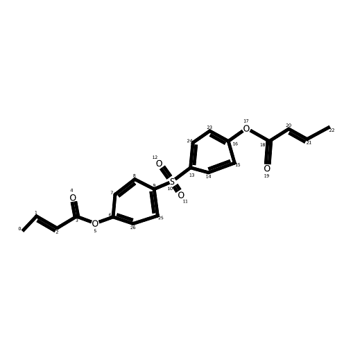 CC=CC(=O)Oc1ccc(S(=O)(=O)c2ccc(OC(=O)C=CC)cc2)cc1